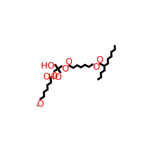 CCCCCCC(CCCC)C(=O)OCCCCCCC(=O)OCC(CO)(CO)COC(=O)CCCCCCOC